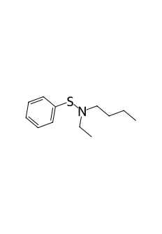 CCCCN(CC)Sc1ccccc1